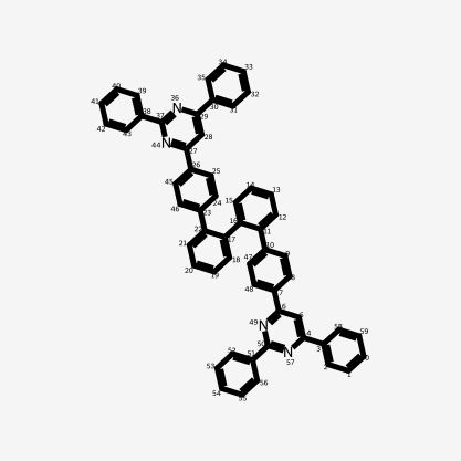 c1ccc(-c2cc(-c3ccc(-c4ccccc4-c4ccccc4-c4ccc(-c5cc(-c6ccccc6)nc(-c6ccccc6)n5)cc4)cc3)nc(-c3ccccc3)n2)cc1